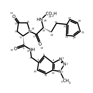 Cn1nnc2cc(CNC(=O)[C@@H]3CC(=O)CN3C(=O)[C@@H](CCc3ccccc3)NC(=O)O)ccc21